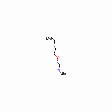 CNCCCCOCCNC(C)(C)C